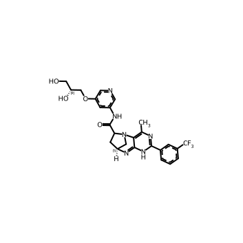 CC1=C2C(=N[C@H]3CC(C(=O)Nc4cncc(OC[C@H](O)CO)c4)N2C3)NC(c2cccc(C(F)(F)F)c2)=N1